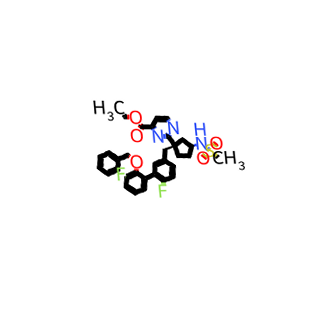 CCOC(=O)c1ccnc([C@@]2(Cc3ccc(F)c(-c4cccc(F)c4OCc4ccccc4)c3)CC[C@H](NS(C)(=O)=O)C2)n1